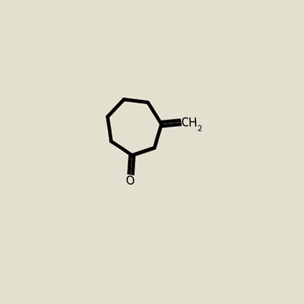 C=C1CCCCC(=O)C1